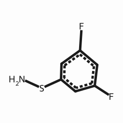 NSc1cc(F)cc(F)c1